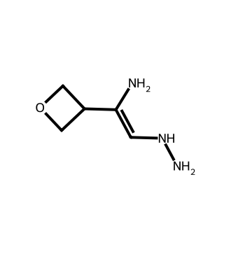 NN/C=C(\N)C1COC1